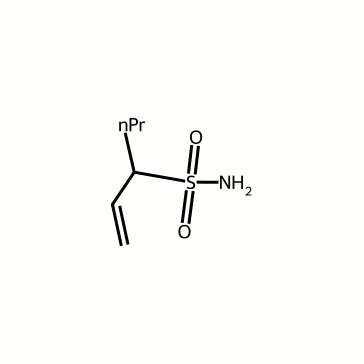 C=CC(CCC)S(N)(=O)=O